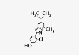 CCC(CC)c1cc(C)n2nc(-c3ccc(O)cc3Cl)cc2c1